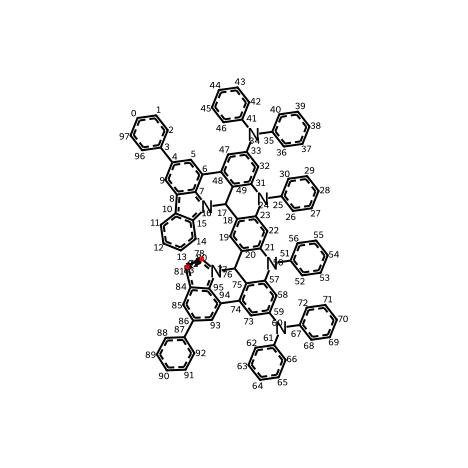 c1ccc(-c2cc3c4c(c2)c2ccccc2n4C2c4cc5c(cc4N(c4ccccc4)c4cc(N(c6ccccc6)c6ccccc6)cc-3c42)N(c2ccccc2)c2cc(N(c3ccccc3)c3ccccc3)cc3c2C5n2c4ccccc4c4cc(-c5ccccc5)cc-3c42)cc1